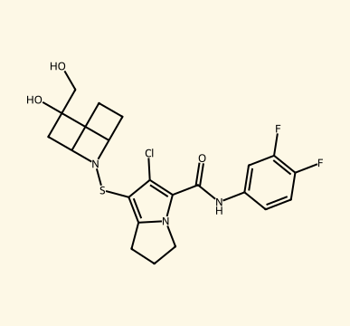 O=C(Nc1ccc(F)c(F)c1)c1c(Cl)c(SN2C3CCC34C2CC4(O)CO)c2n1CCC2